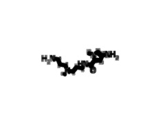 CN(CCCN)CCCNC(=O)c1cc(N)cn1C